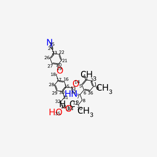 Cc1cc(C)cc(C(CC(C)C)NC(=O)c2cc(COc3ccc(C#N)cc3)ccc2CCC(=O)O)c1